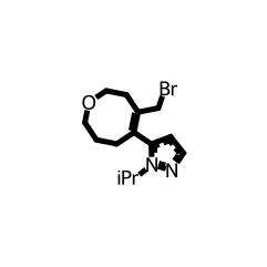 CC(C)n1nccc1/C1=C(\CBr)CCOCCC1